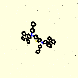 c1ccc(-c2ccc(N(c3ccc([Si](c4ccccc4)(c4ccccc4)c4ccccc4)cc3)c3ccc4c(c3)sc3cc(N(c5ccc(-c6ccccc6)cc5)c5ccc([Si](c6ccccc6)(c6ccccc6)c6ccccc6)cc5)ccc34)cc2)cc1